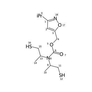 CC(C)c1cc(COC(=O)N(C(C)CS)C(C)CS)on1